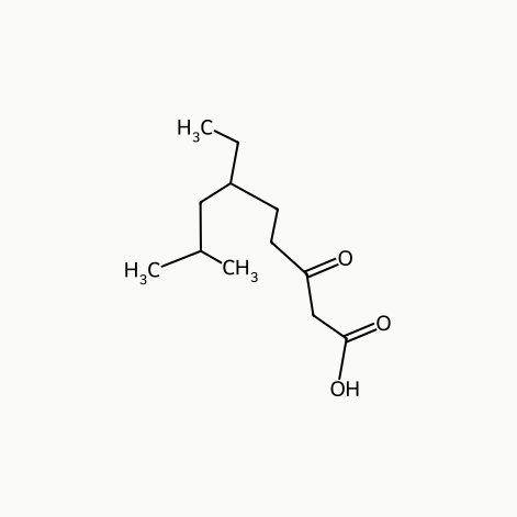 CCC(CCC(=O)CC(=O)O)CC(C)C